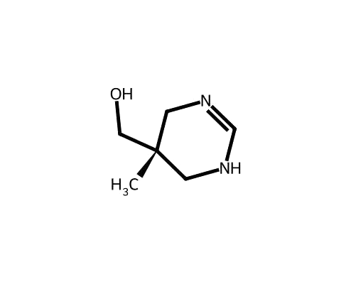 C[C@@]1(CO)CN=CNC1